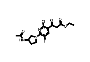 CCOC(=O)CC(=O)c1cc(F)c(N2CCC(NC(C)=O)C2)nc1Cl